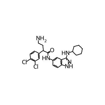 NCCC(C(=O)Nc1ccc2[nH]nc(NC3CCCCC3)c2c1)c1ccc(Cl)c(Cl)c1